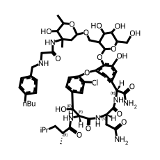 CCCCc1ccc(CNCC(=O)NC2(C)CC(OCC3C(Oc4c(O)cc5cc4Oc4ccc(cc4Cl)[C@@H](O)[C@@H](NC(=O)[C@H](C)CC(C)C)C(=O)N[C@@H](CC(N)=O)C(=O)N[C@H]5C(N)=O)OC(CO)C(O)C3O)OC(C)C2O)cc1